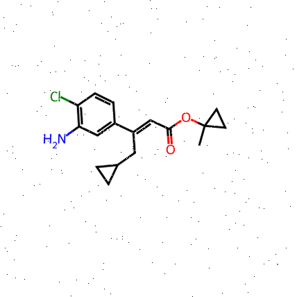 CC1(OC(=O)C=C(CC2CC2)c2ccc(Cl)c(N)c2)CC1